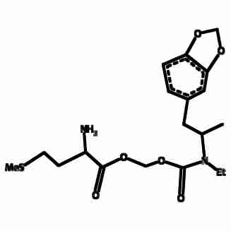 CCN(C(=O)OCOC(=O)C(N)CCSC)C(C)Cc1ccc2c(c1)OCO2